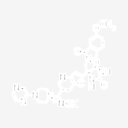 COc1ccc2c(c1)C(=O)N(C[C@@]1(c3cc4ncc(/C(=N\O)N5CCN(c6cnccn6)CC5)cc4o3)NC(=O)NC1=O)C2